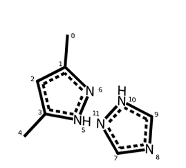 Cc1cc(C)[nH]n1.c1nc[nH]n1